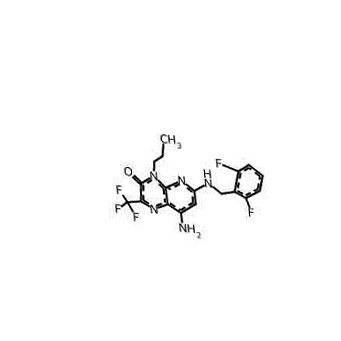 CCCn1c(=O)c(C(F)(F)F)nc2c(N)cc(NCc3c(F)cccc3F)nc21